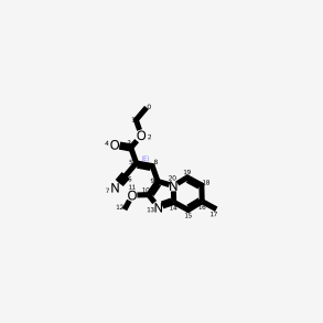 CCOC(=O)/C(C#N)=C/c1c(OC)nc2cc(C)ccn12